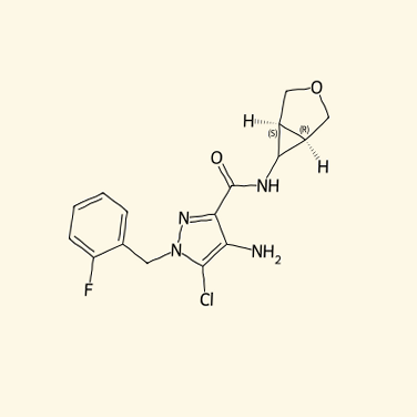 Nc1c(C(=O)NC2[C@H]3COC[C@@H]23)nn(Cc2ccccc2F)c1Cl